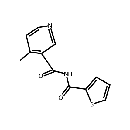 Cc1ccncc1C(=O)NC(=O)c1cccs1